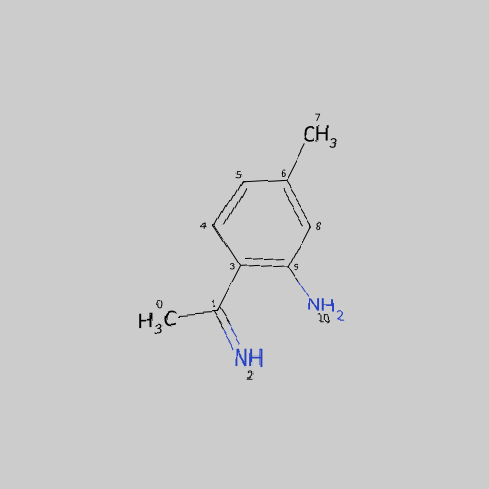 CC(=N)c1ccc(C)cc1N